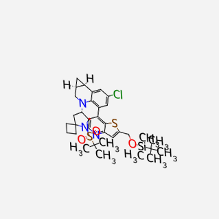 CC(C)(C)[Si](C)(C)OCc1cc2nccc(-c3cc(Cl)cc4c3N([C@@H]3CN(S(=O)(=O)C(C)(C)C)C5(CCC5)C3)C[C@H]3C[C@@H]43)c2s1